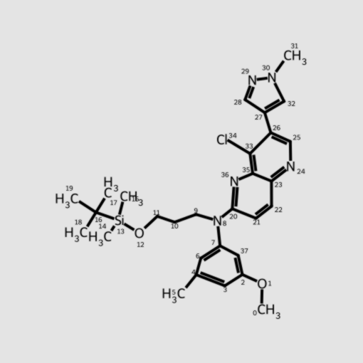 COc1cc(C)cc(N(CCCO[Si](C)(C)C(C)(C)C)c2ccc3ncc(-c4cnn(C)c4)c(Cl)c3n2)c1